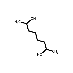 [CH2]C(O)CCCCC([CH2])O